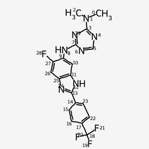 CN(C)c1ncnc(Nc2cc3[nH]c(-c4ccc(C(F)(F)F)cc4)nc3cc2F)n1